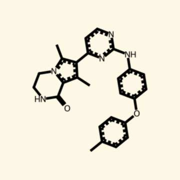 Cc1ccc(Oc2ccc(Nc3nccc(-c4c(C)c5n(c4C)CCNC5=O)n3)cc2)cc1